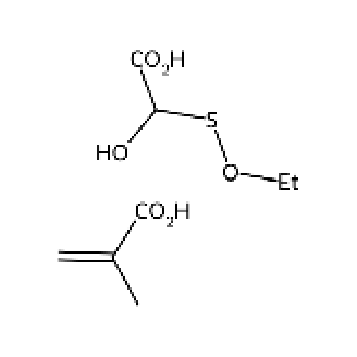 C=C(C)C(=O)O.CCOSC(O)C(=O)O